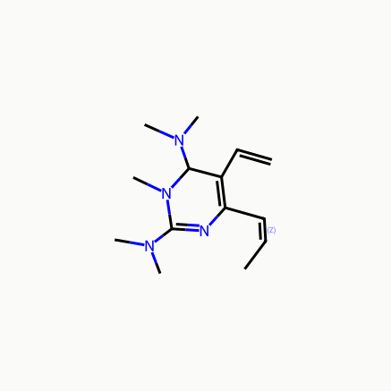 C=CC1=C(/C=C\C)N=C(N(C)C)N(C)C1N(C)C